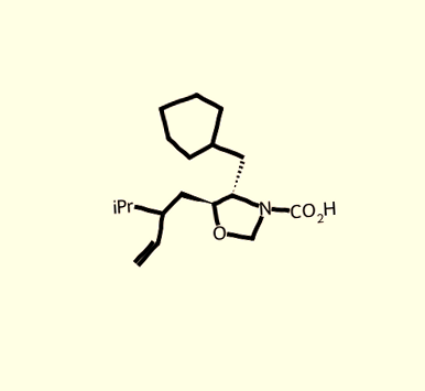 C=CC(C[C@@H]1OCN(C(=O)O)[C@H]1CC1CCCCC1)C(C)C